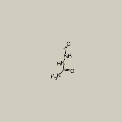 NC(=O)NN[C]=O